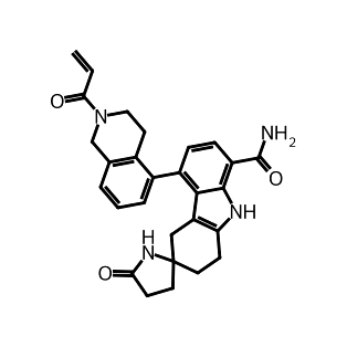 C=CC(=O)N1CCc2c(cccc2-c2ccc(C(N)=O)c3[nH]c4c(c23)CC2(CCC(=O)N2)CC4)C1